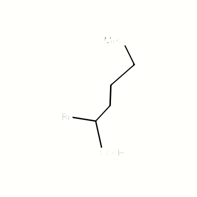 COCCCC(Br)C(=O)O